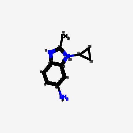 Cc1nc2ccc(N)cc2n1C1CC1